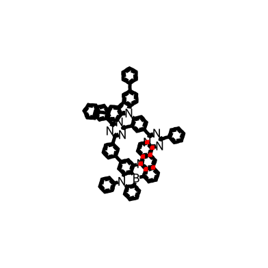 c1ccc(-c2ccc3c(c2)c2cc(-c4ccccc4)ccc2n3-c2ccc(-c3nc(-c4ccccc4)nc(-c4ccccc4)n3)cc2-c2nc(-c3ccccc3)nc(-c3cccc(-c4cc5c6c(c4)N(c4ccccc4)c4ccccc4B6c4ccccc4N5c4ccccc4)c3)n2)cc1